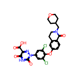 O=C(O)c1nn(-c2cc(Cl)c(Oc3ccc4c(c3)CCN(CC3CCOCC3)C4=O)c(Cl)c2)c(=O)[nH]c1=O